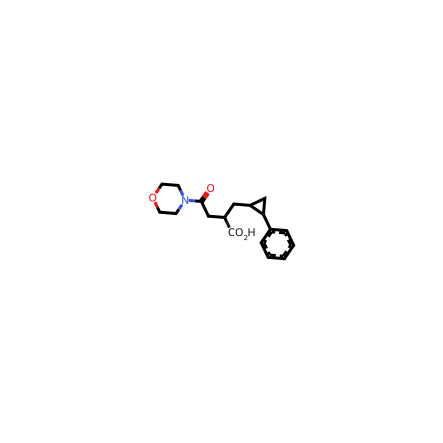 O=C(O)C(CC(=O)N1CCOCC1)CC1CC1c1ccccc1